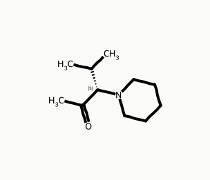 CC(=O)[C@H](C(C)C)N1CCCCC1